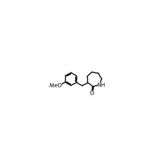 COc1cccc(CC2CCCCNC2=O)c1